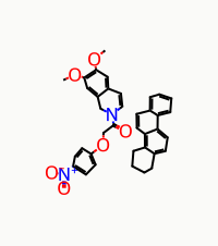 COc1cc2c(cc1OC)CN(C(=O)COc1ccc([N+](=O)[O-])cc1)C=C2.c1ccc2c(c1)ccc1c3c(ccc12)CCCC3